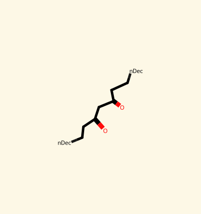 CCCCCCCCCCCCC(=O)CC(=O)CCCCCCCCCCCC